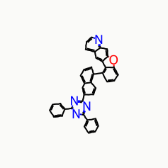 c1ccc(-c2nc(-c3ccccc3)nc(-c3ccc4c(-c5cccc6oc7cc8ncccc8cc7c56)cccc4c3)n2)cc1